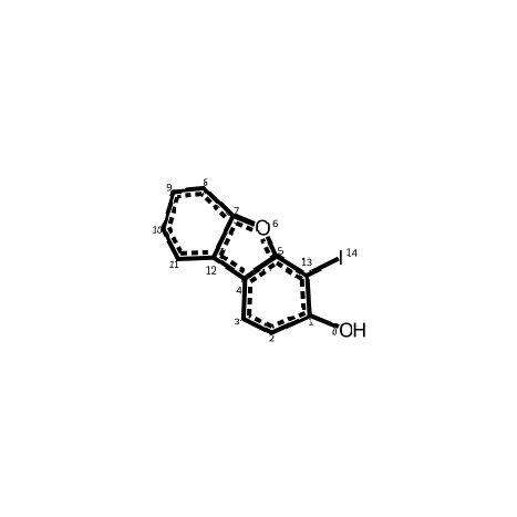 Oc1ccc2c(oc3ccccc32)c1I